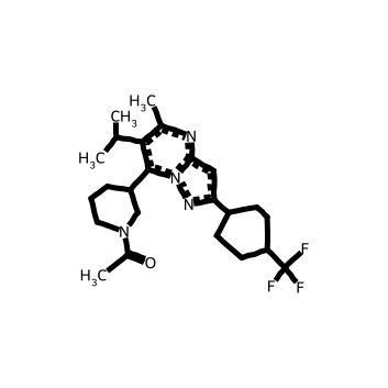 CC(=O)N1CCCC(c2c(C(C)C)c(C)nc3cc(C4CCC(C(F)(F)F)CC4)nn23)C1